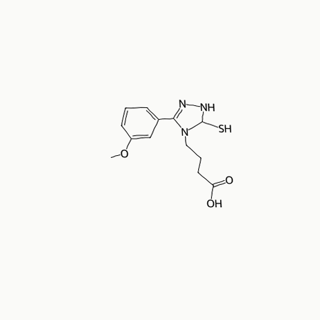 COc1cccc(C2=NNC(S)N2CCCC(=O)O)c1